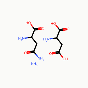 N.NC(=O)CC(N)C(=O)O.NC(CC(=O)O)C(=O)O